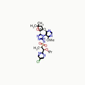 COc1ncnc(OC)c1-n1c(NS(=O)(=O)[C@@H](C)[C@@H](OC(C)C)c2ncc(Cl)cn2)nnc1[C@H]1CCC(C)(C)O1